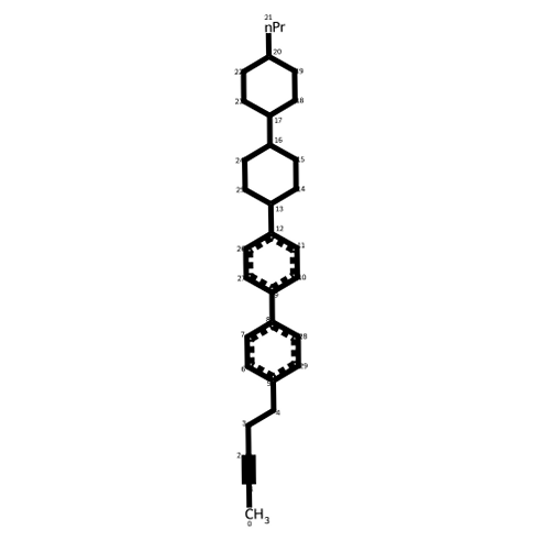 CC#CCCc1ccc(-c2ccc(C3CCC(C4CCC(CCC)CC4)CC3)cc2)cc1